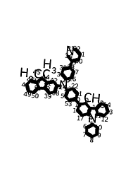 CC1c2c(n(-c3ccccc3)c3ccccc23)C=CC1c1ccc(N(c2ccc(-c3cccnc3)cc2)c2ccc3c(c2)C(C)(C)c2ccccc2-3)cc1